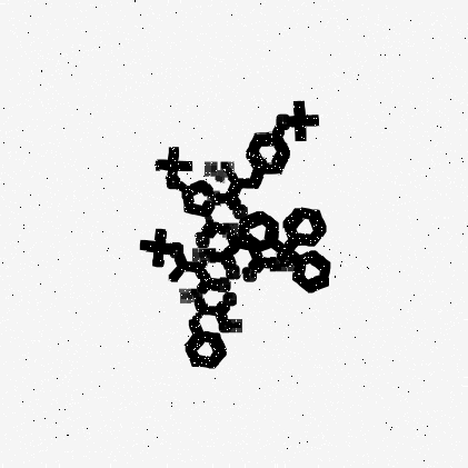 C[C@@H](OC(C)(C)C)[C@H](NC(=O)[C@H](CC(=O)NC(c1ccccc1)(c1ccccc1)c1ccccc1)NC(=O)[C@@H]1C[C@@H](OC(C)(C)C)CN1C(=O)[C@@H](N)Cc1ccc(OC(C)(C)C)cc1)C(=O)N[C@@H](Cc1ccccc1)C(=O)O